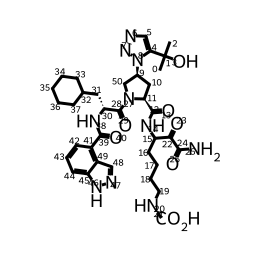 CC(C)(O)c1cnnn1[C@H]1C[C@@H](C(=O)NC(CCCCNC(=O)O)C(=O)C(N)=O)N(C(=O)[C@@H](CC2CCCCC2)NC(=O)c2cccc3[nH]ncc23)C1